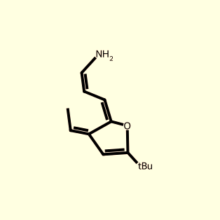 C/C=c1/cc(C(C)(C)C)o/c1=C/C=C\N